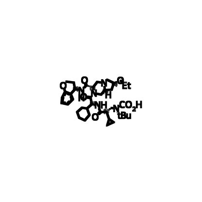 CCO[C@@H]1C[C@@H]2CN(C(=O)[C@@H](NC(=O)[C@H](CN(C(=O)O)C(C)(C)C)C3CC3)C3CCCCC3)[C@H](C(=O)N[C@@H]3CCOc4ccccc43)CN2C1